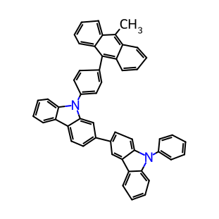 Cc1c2ccccc2c(-c2ccc(-n3c4ccccc4c4ccc(-c5ccc6c(c5)c5ccccc5n6-c5ccccc5)cc43)cc2)c2ccccc12